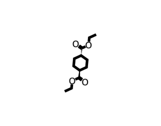 CCOC(=O)[C@H]1CC[C@H](C(=O)OCC)CC1